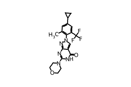 Cc1cc(C2CC2)cc(C(F)(F)F)c1-n1cc2c(=O)[nH]c(N3CCOCC3)nc2n1